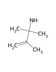 C=C(C)C(C)(C)[NH]